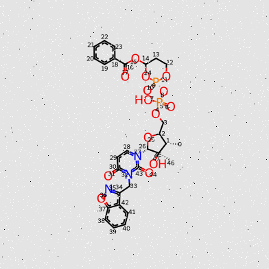 C[C@H]1C(COP(=O)(O)OP2(=O)OCCC(OC(=O)c3ccccc3)O2)O[C@@H](n2ccc(=O)n(Cc3noc4ccccc34)c2=O)[C@]1(C)O